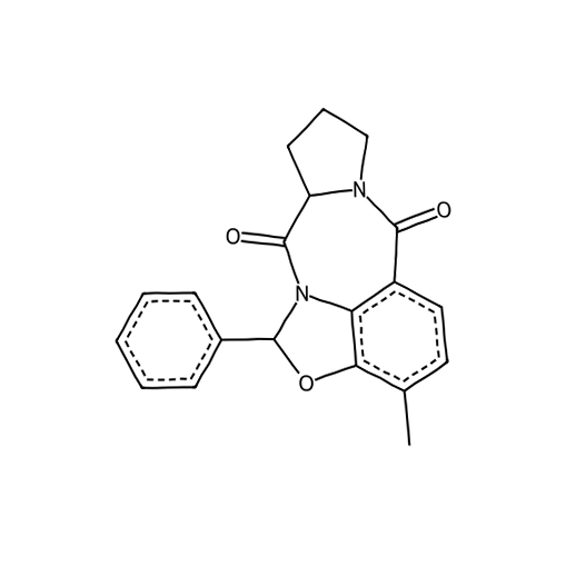 Cc1ccc2c3c1OC(c1ccccc1)N3C(=O)C1CCCN1C2=O